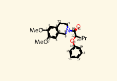 COc1cc2c(cc1OC)CN(C(=O)C(Oc1ccccc1)C(C)C)CC2